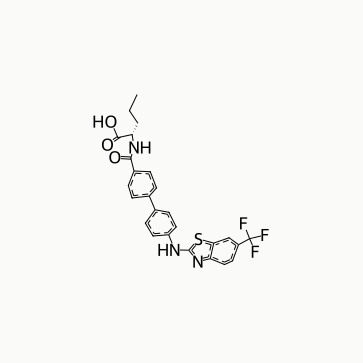 CCC[C@H](NC(=O)c1ccc(-c2ccc(Nc3nc4ccc(C(F)(F)F)cc4s3)cc2)cc1)C(=O)O